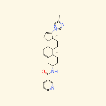 Cc1cn(C2=CCC3C4CC=C5C[C@@H](NC(=O)c6cccnc6)CC[C@]5(C)C4CC[C@]23C)cn1